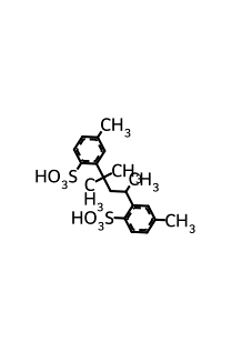 Cc1ccc(S(=O)(=O)O)c(C(C)CC(C)(C)c2cc(C)ccc2S(=O)(=O)O)c1